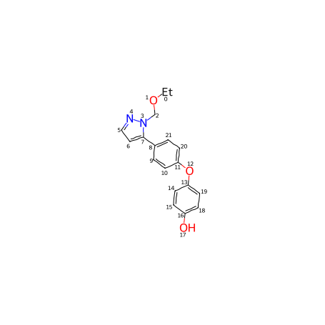 CCOCn1nccc1-c1ccc(Oc2ccc(O)cc2)cc1